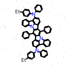 CCc1ccc(N(c2ccccc2)c2ccc3c4c(-c5ccccc5)c5c(c(-c6ccccc6)c4n4c6ccccc6c2c34)c2ccc(N(c3ccccc3)c3ccc(CC)cc3)c3c4ccccc4n5c23)cc1